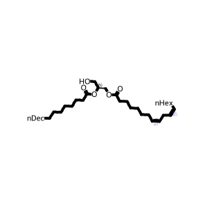 CCCCCC/C=C\C/C=C\CCCCCCC(=O)OC[C@H](CO)OC(=O)CCCCCCCCCCCCCCCCC